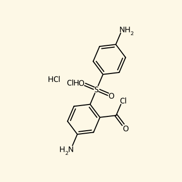 Cl.Cl.Nc1ccc(S(=O)(=O)c2ccc(N)cc2C(=O)Cl)cc1